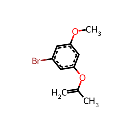 C=C(C)Oc1cc(Br)cc(OC)c1